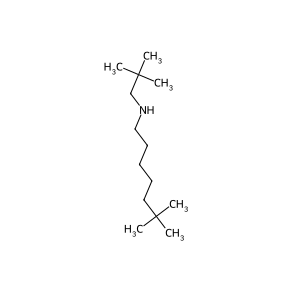 CC(C)(C)CCCCCNCC(C)(C)C